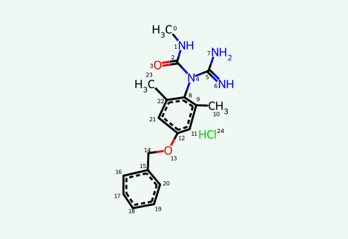 CNC(=O)N(C(=N)N)c1c(C)cc(OCc2ccccc2)cc1C.Cl